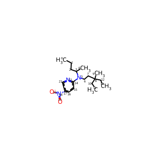 CCCC(C)N(CCC(C)(CC)CC)c1ccc([N+](=O)[O-])cn1